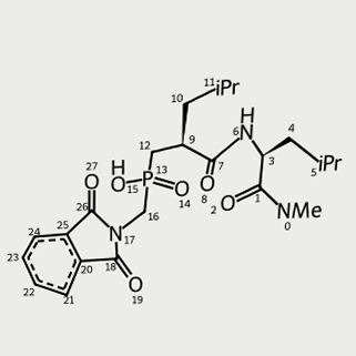 CNC(=O)[C@H](CC(C)C)NC(=O)[C@H](CC(C)C)CP(=O)(O)CN1C(=O)c2ccccc2C1=O